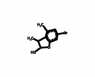 Cc1cc(Br)cc2c1C(C)B(O)O2